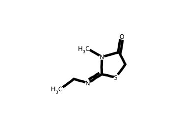 CC/N=C1/SCC(=O)N1C